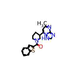 CC1=NC2=NCNN2C(C2CCCN(C(=O)c3cc4ccccc4s3)C2)=C1